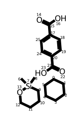 C1CCCCC1.C[Si]1(C)CCCCO1.O=C(O)c1ccc(C(=O)O)cc1